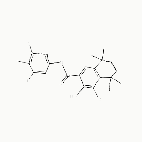 Cc1c(F)cc(NC(=O)c2cc3c(c(Cl)c2O)C(C)(C)CCC3(C)C)cc1F